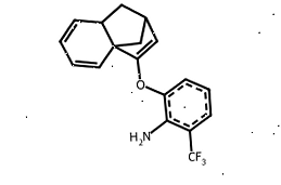 Nc1c(OC2=CC3CC4C=CC=CC24C3)cccc1C(F)(F)F